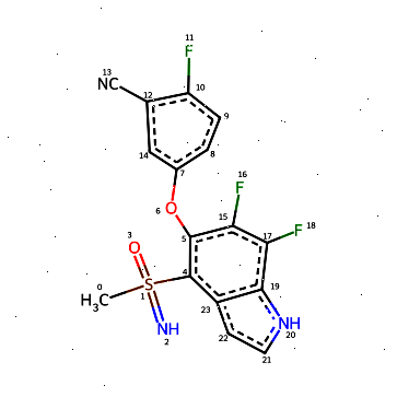 CS(=N)(=O)c1c(Oc2ccc(F)c(C#N)c2)c(F)c(F)c2[nH]ccc12